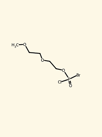 COCCOCCOP(=O)(Cl)Br